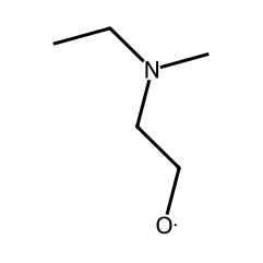 CCN(C)CC[O]